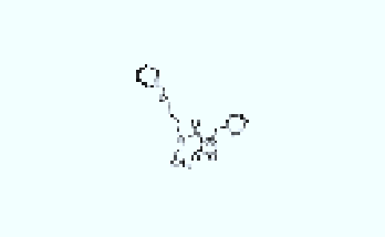 C=CC[C@@H](CCCCOCc1ccccc1)C(=O)N1C(=O)OC[C@@H]1Cc1ccccc1